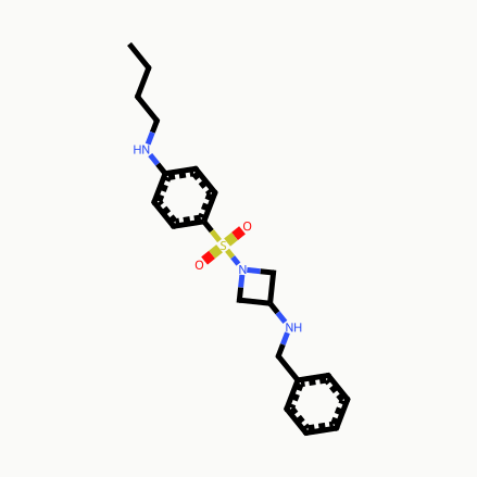 CCCCNc1ccc(S(=O)(=O)N2CC(NCc3ccccc3)C2)cc1